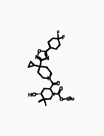 CC(C)(C)OC(=O)N1CC(C)(C)[C@H](O)C[C@H]1C(=O)N1CCC(c2noc(C3CCC(F)(F)CC3)n2)(C2CC2)CC1